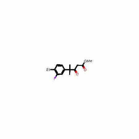 CCc1ccc(C(C)(C)C(=O)CC(=O)OC)cc1I